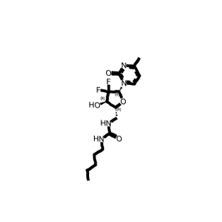 CCCCCNC(=O)NC[C@H]1O[C@@H](n2ccc(C)nc2=O)C(F)(F)[C@@H]1O